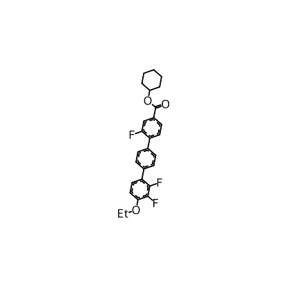 CCOc1ccc(-c2ccc(-c3ccc(C(=O)OC4CCCCC4)cc3F)cc2)c(F)c1F